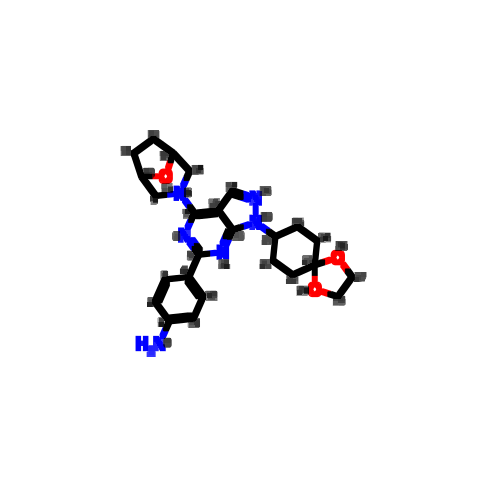 Nc1ccc(-c2nc(N3CC4CCC(C3)O4)c3cnn(C4CCC5(CC4)OCCO5)c3n2)cc1